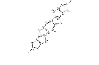 CC1=Cc2sc3c(c2C1)Cc1cc2c(cc1-3)Cc1c-2sc2cc(C)sc12